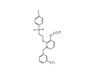 Cc1cccc(CN2CC=CC(OC(=O)O)=C2SCCC(F)(F)c2ccc(F)cc2)c1